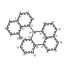 Brc1cccc2cccc(N3c4cccnc4-c4cccc5cccc3c45)c12